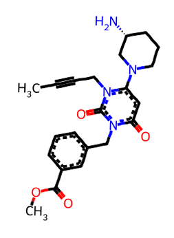 CC#CCn1c(N2CCC[C@@H](N)C2)cc(=O)n(Cc2cccc(C(=O)OC)c2)c1=O